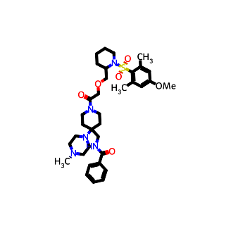 COc1cc(C)c(S(=O)(=O)N2CCCCC2COCC(=O)N2CCC(CNC(=O)c3ccccc3)(N3CCN(C)CC3)CC2)c(C)c1